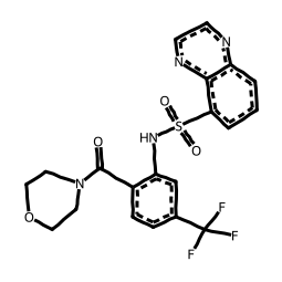 O=C(c1ccc(C(F)(F)F)cc1NS(=O)(=O)c1cccc2nccnc12)N1CCOCC1